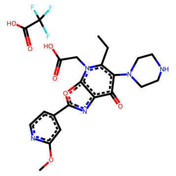 CCc1c(N2CCNCC2)c(=O)c2nc(-c3ccnc(OC)c3)oc2n1CC(=O)O.O=C(O)C(F)(F)F